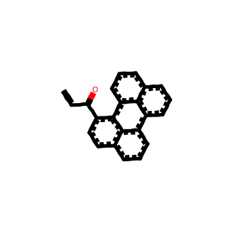 C=CC(=O)c1ccc2cccc3c4cccc5cccc(c1c23)c54